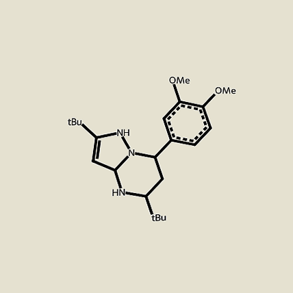 COc1ccc(C2CC(C(C)(C)C)NC3C=C(C(C)(C)C)NN32)cc1OC